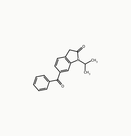 CC(C)N1C(=O)Cc2ccc(C(=O)c3ccccc3)cc21